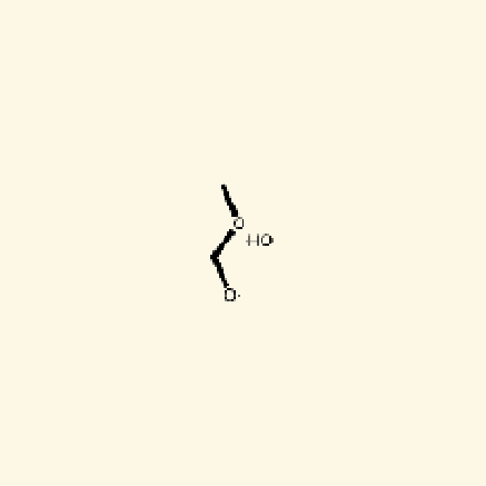 COC[O].[OH]